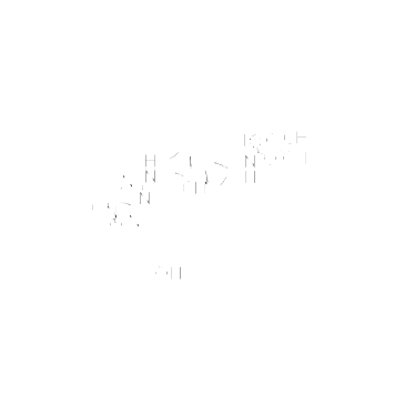 Cc1c(CNc2ncc([N+](=O)[O-])c(NC[C@H]3CC[C@@H](O)CC3)n2)cccc1-c1cccc(CNC(=O)OC(C)(C)C)c1